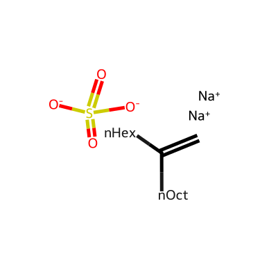 C=C(CCCCCC)CCCCCCCC.O=S(=O)([O-])[O-].[Na+].[Na+]